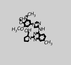 COc1cc(-n2cnc(Nc3nc(N4CCCC4CO)nc4cc(C)ccc34)c2)cc(OC)c1OC